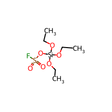 CCO[Si](OCC)(OCC)OS(=O)(=O)F